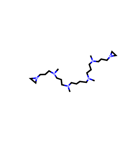 CN(CCCCN(C)CCCN(C)CCCN1CC1)CCCN(C)CCCN1CC1